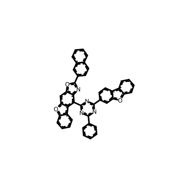 c1ccc(-c2nc(-c3ccc4c(c3)oc3ccccc34)nc(-c3c4nc(-c5ccc6ccccc6c5)oc4cc4oc5ccccc5c34)n2)cc1